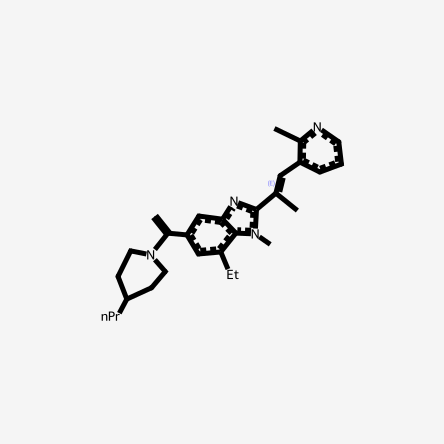 C=C(c1cc(CC)c2c(c1)nc(/C(C)=C/c1cccnc1C)n2C)N1CCC(CCC)CC1